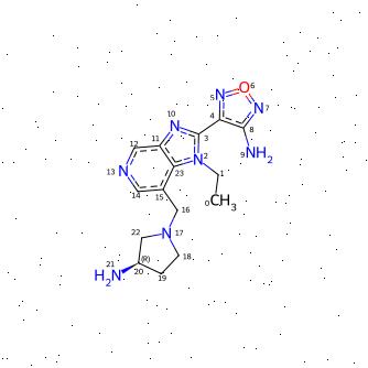 CCn1c(-c2nonc2N)nc2cncc(CN3CC[C@@H](N)C3)c21